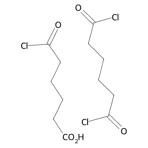 O=C(Cl)CCCCC(=O)Cl.O=C(O)CCCCC(=O)Cl